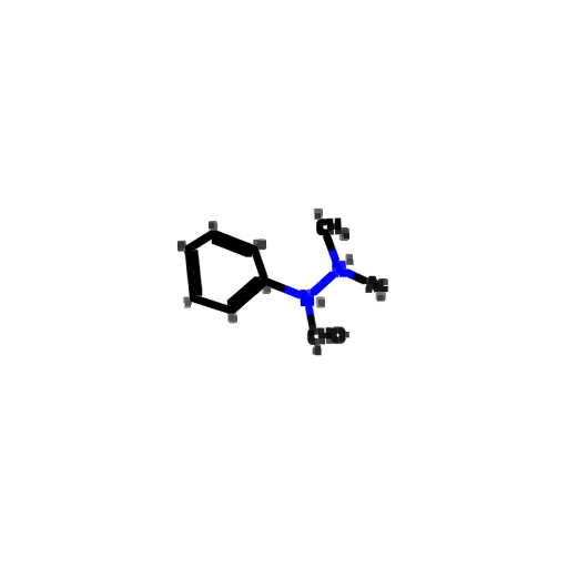 CC(=O)N(C)N([C]=O)c1ccccc1